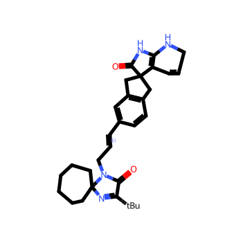 CC(C)(C)C1=NC2(CCCCCC2)N(C/C=C/c2ccc3c(c2)CC2(C3)C(=O)NC3=C2C=CCN3)C1=O